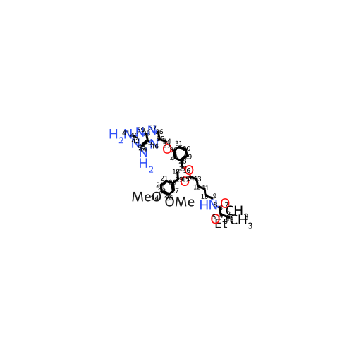 CCC(C)(C)C(=O)C(=O)NCCCCCC(=O)O[C@H](CCc1ccc(OC)c(OC)c1)c1cccc(OCc2cnc3nc(N)nc(N)c3n2)c1